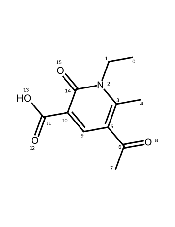 CCn1c(C)c(C(C)=O)cc(C(=O)O)c1=O